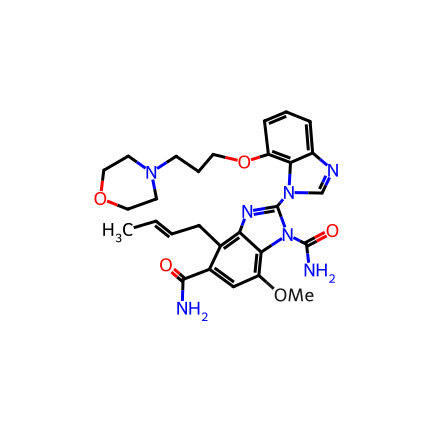 C/C=C/Cc1c(C(N)=O)cc(OC)c2c1nc(-n1cnc3cccc(OCCCN4CCOCC4)c31)n2C(N)=O